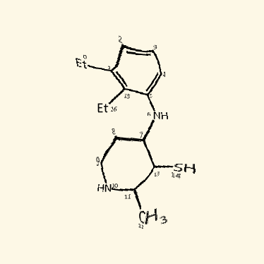 CCc1cccc(NC2CCNC(C)C2S)c1CC